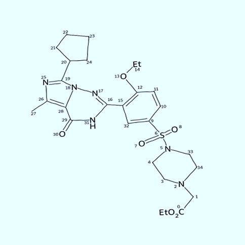 CCOC(=O)CN1CCN(S(=O)(=O)c2ccc(OCC)c(-c3nn4c(C5CCCC5)nc(C)c4c(=O)[nH]3)c2)CC1